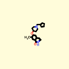 Cc1cc2c(=O)[nH]ccc2cc1OC1CCN(CC2=CCC=C2)CC1